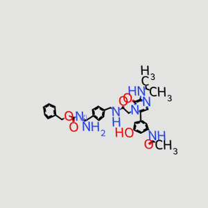 CC(=O)Nc1cc(O)cc(-c2cnc(NC(C)C)c(=O)n2CC(=O)NCc2ccc(/C(N)=N/C(=O)OCc3ccccc3)cc2)c1